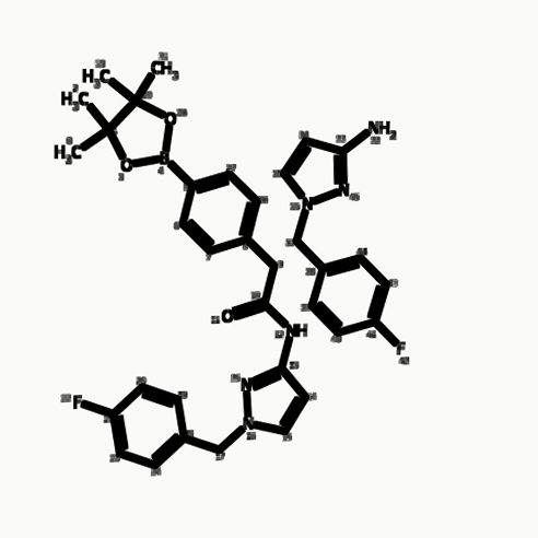 CC1(C)OB(c2ccc(CC(=O)Nc3ccn(Cc4ccc(F)cc4)n3)cc2)OC1(C)C.Nc1ccn(Cc2ccc(F)cc2)n1